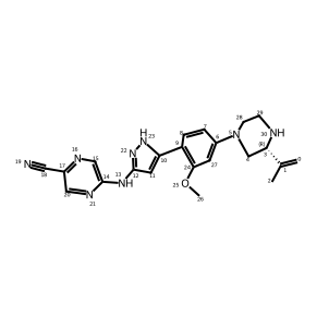 C=C(C)[C@@H]1CN(c2ccc(-c3cc(Nc4cnc(C#N)cn4)n[nH]3)c(OC)c2)CCN1